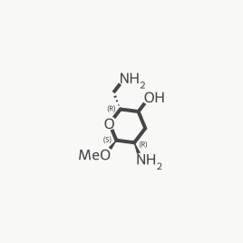 CO[C@H]1O[C@H](CN)C(O)C[C@H]1N